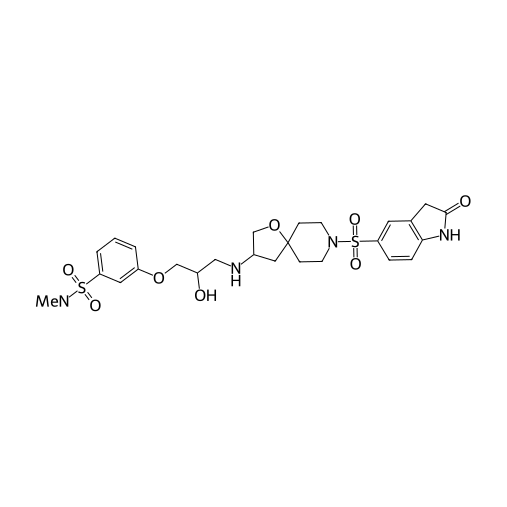 CNS(=O)(=O)c1cccc(OCC(O)CNC2COC3(CCN(S(=O)(=O)c4ccc5c(c4)CC(=O)N5)CC3)C2)c1